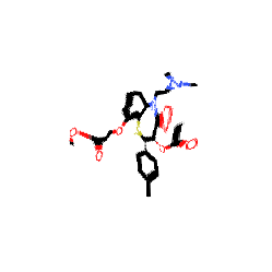 COC(=O)COc1cccc2c1S[C@@H](c1ccc(C)cc1)[C@@H](OC(C)=O)C(=O)N2CCN(C)C